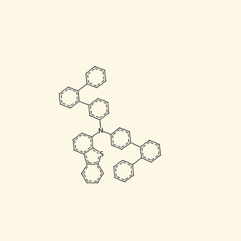 c1ccc(-c2ccccc2-c2ccc(N(c3cccc(-c4ccccc4-c4ccccc4)c3)c3cccc4c3sc3ccccc34)cc2)cc1